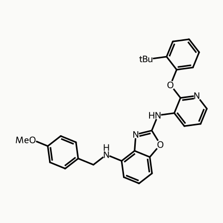 COc1ccc(CNc2cccc3oc(Nc4cccnc4Oc4ccccc4C(C)(C)C)nc23)cc1